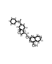 CN(c1ccccc1)c1ccc2c(COc3nc(O)c4ccncc4n3)coc2c1